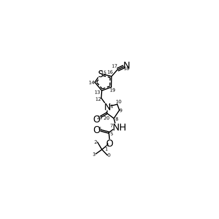 CC(C)(C)OC(=O)NC1CCN(Cc2csc(C#N)c2)C1=O